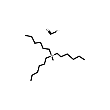 CCCCCC[N+](C)(CCCCCC)CCCCCC.O=C[O-]